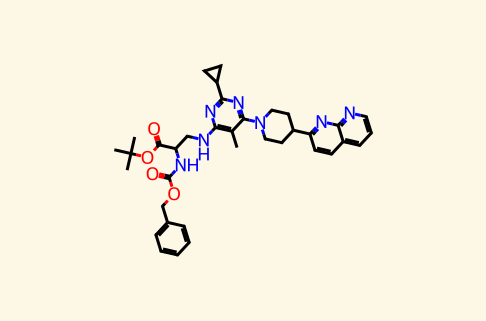 Cc1c(NCC(NC(=O)OCc2ccccc2)C(=O)OC(C)(C)C)nc(C2CC2)nc1N1CCC(c2ccc3cccnc3n2)CC1